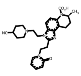 C[C@H]1CCc2c(ccc3c2nc(CCn2ccccc2=O)n3CCN2CCC(C#N)CC2)N1C(=O)O